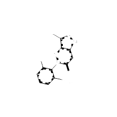 Cc1cccc(F)c1-n1nc2c(Cl)n[nH]c2cc1=O